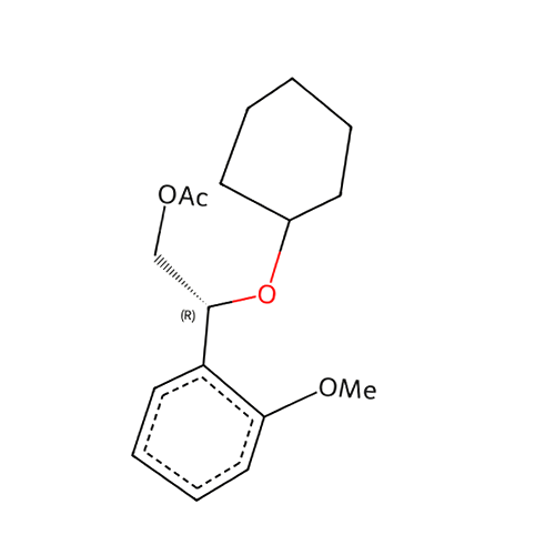 COc1ccccc1[C@H](COC(C)=O)OC1CCCCC1